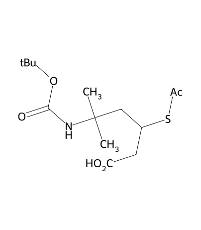 CC(=O)SC(CC(=O)O)CC(C)(C)NC(=O)OC(C)(C)C